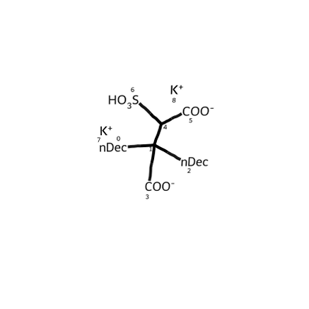 CCCCCCCCCCC(CCCCCCCCCC)(C(=O)[O-])C(C(=O)[O-])S(=O)(=O)O.[K+].[K+]